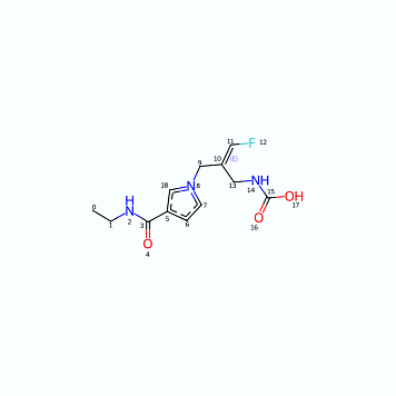 CCNC(=O)c1ccn(C/C(=C/F)CNC(=O)O)c1